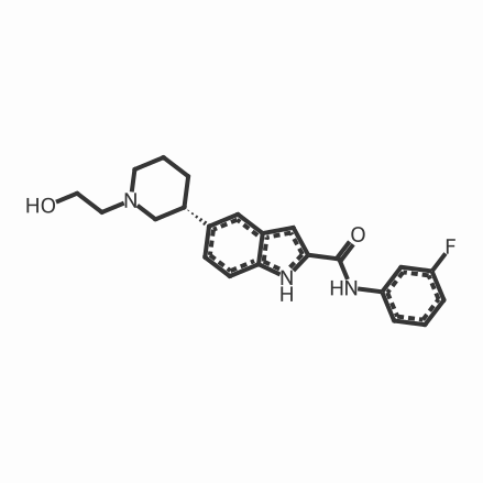 O=C(Nc1cccc(F)c1)c1cc2cc([C@H]3CCCN(CCO)C3)ccc2[nH]1